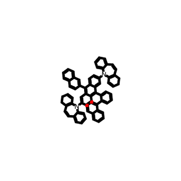 C1=CC2=C(C=Cc3ccccc3N2c2ccc3c(-c4ccccc4-c4cccc5ccccc45)c4cc(N5C6=C(C=Cc7ccccc75)CCC=C6)ccc4c(-c4ccc5ccccc5c4)c3c2)CC1